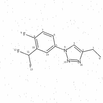 CCc1cn(-c2ccc(F)c(C(F)F)c2)nn1